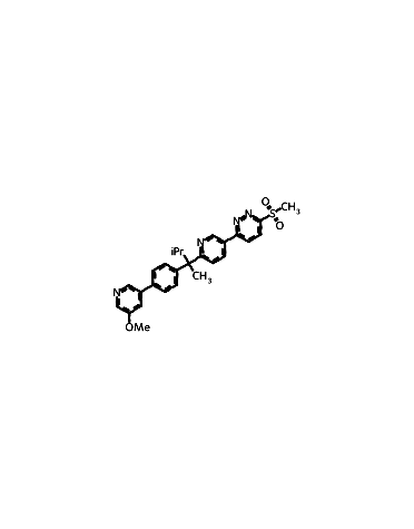 COc1cncc(-c2ccc(C(C)(c3ccc(-c4ccc(S(C)(=O)=O)nn4)cn3)C(C)C)cc2)c1